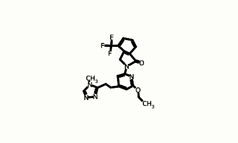 CCOc1cc(CCc2nncn2C)cc(N2Cc3c(cccc3C(F)(F)F)C2=O)n1